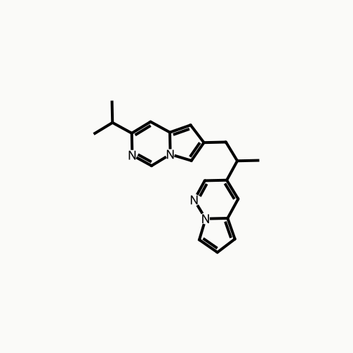 CC(C)c1cc2cc(CC(C)c3cnn4cccc4c3)cn2cn1